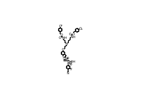 COc1ccc(COC(=O)NCCCCN(CCCNC(=O)OCc2ccc(OC)cc2)CCCOc2ccc3sc(S(=O)(=O)NCP(=O)(O)Oc4ccc(C#N)c(F)c4)cc3c2)cc1